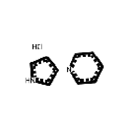 Cl.c1cc[nH]c1.c1ccncc1